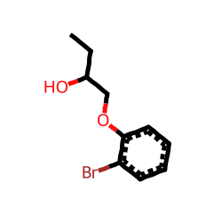 CCC(O)COc1ccccc1Br